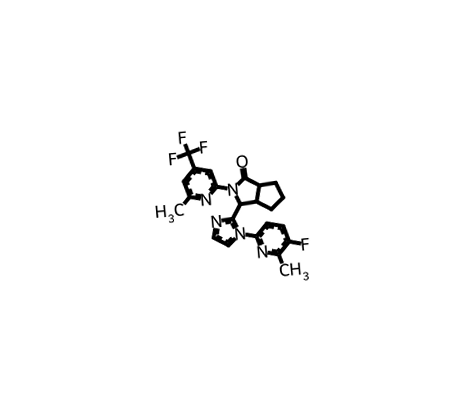 Cc1cc(C(F)(F)F)cc(N2C(=O)C3CCCC3C2c2nccn2-c2ccc(F)c(C)n2)n1